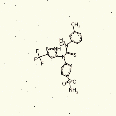 Cc1cccc(N(C)C(=S)N(c2ccc(S(N)(=O)=O)cc2)c2cc(C(F)(F)F)n[nH]2)c1